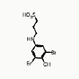 O=S(=O)(O)CCCNc1cc(Br)c(O)c(Br)c1